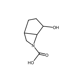 O=C(O)N1CC2CCC(O)C21